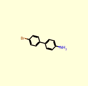 Nc1ccc(-c2ccc(Br)cc2)cc1